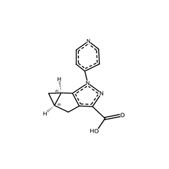 O=C(O)c1nn(-c2ccncc2)c2c1C[C@H]1C[C@@H]21